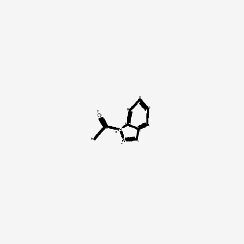 CC(=O)n1ncc2cc[c]cc21